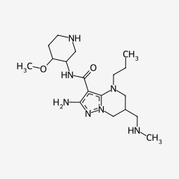 CCCN1CC(CNC)Cn2nc(N)c(C(=O)NC3CNCCC3OC)c21